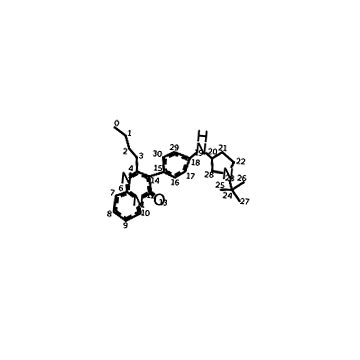 CCCCc1nc2ccccn2c(=O)c1-c1ccc(NC2CCN(C(C)(C)C)C2)cc1